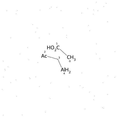 CC(=O)O.CC(=O)[CH2][AlH2]